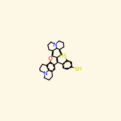 Sc1ccc(C2=C3C=C4CCCN5CCCC(=C3Oc3c2cc2c6c3CCCN6CCC2)C45)c(S)c1